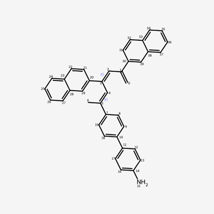 C=C(/C=C(\C=C(/C)c1ccc(-c2ccc(N)cc2)cc1)c1ccc2ccccc2c1)c1ccc2ccccc2c1